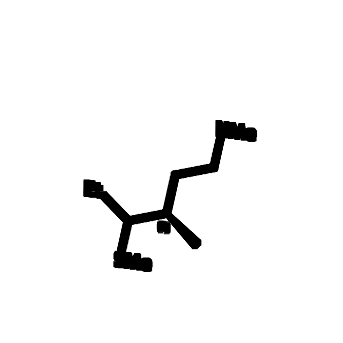 CCC(SC)[C@H](C)CCNC